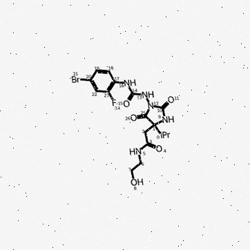 CC(C)C1(CC(=O)NCCO)NC(=O)N(NC(=O)Nc2ccc(Br)cc2F)C1=O